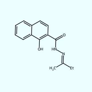 CCC(C)=NNC(=O)c1ccc2ccccc2c1O